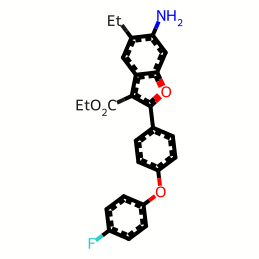 CCOC(=O)c1c(-c2ccc(Oc3ccc(F)cc3)cc2)oc2cc(N)c(CC)cc12